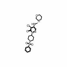 O=c1c(Cl)c(NC[C@H]2CCCOC2)cnn1C1CCN(S(=O)(=O)c2ccccc2)CC1